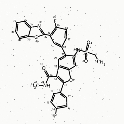 CCS(=O)(=O)Nc1cc2oc(-c3ccc(F)cc3)c(C(=O)NC)c2cc1-c1ccc(F)c(-c2nc3ccccc3s2)c1